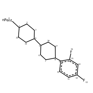 CCCCCC1CCC(C2CCC(c3ccc(F)cc3F)CC2)CC1